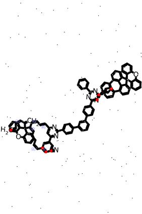 C=C/C=C\C(=C)C1(C(/C=C\C=C\c2cc(-c3ccccc3)nc(-c3ccc(-c4cccc(-c5ccc(-c6cc(-c7ccc(-c8cccc9c8-c8c(-c%10ccc(C#N)cc%10)cccc8C98c9ccccc9Oc9ccccc98)cc7)nc(-c7ccccc7)n6)cc5)c4)cc3)n2)=C\CC/C=C\C=C\C#N)c2ccccc2Oc2ccccc21